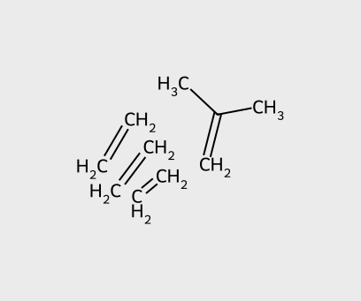 C=C.C=C.C=C.C=C(C)C